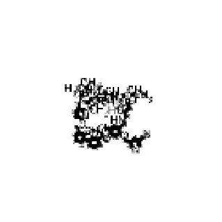 COc1nc(OCc2cccc(-c3cccc(COc4cc(OCc5cncc(C#N)c5)c(CNC[C@@H](O)CC(=O)OC(C)(C)C)cc4Cl)c3C)c2C)ccc1CN(CCO[Si](C)(C)C(C)(C)C)C(=O)OC(C)(C)C